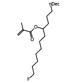 C=C(C)C(=O)OC(CCCCCCCF)CCCCCCCCCCCCC